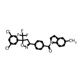 Cc1ccc2c(ccn2C(=O)c2ccc(C3=NOC(c4cc(Cl)cc(Cl)c4)(C(F)(F)F)C3)cc2)c1